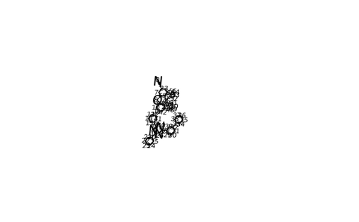 N#Cc1ccc2c(c1)Oc1cc(-c3cccc(-c4nc(-c5ccccc5)nc(-c5cccc(-c6ccccc6)c5)n4)c3)ccc1C21c2ccccc2-c2ccccc21